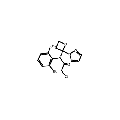 CCc1cccc(C)c1N(C(=O)CCl)C1(n2cccn2)CCO1